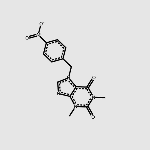 Cn1c(=O)c2c(ncn2Cc2ccc([N+](=O)[O-])cc2)n(C)c1=O